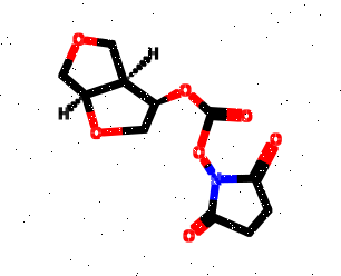 O=C(O[C@H]1CO[C@H]2COC[C@H]21)ON1C(=O)CCC1=O